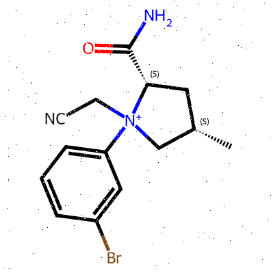 C[C@H]1C[C@@H](C(N)=O)[N+](CC#N)(c2cccc(Br)c2)C1